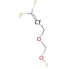 FOCO[CH2][Cf]=[C](F)F